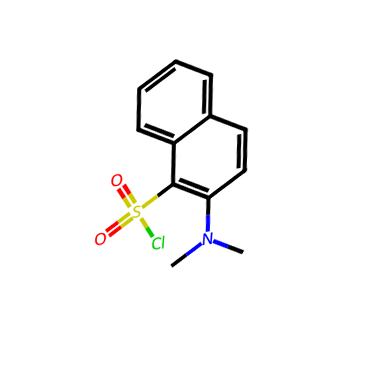 CN(C)c1ccc2ccccc2c1S(=O)(=O)Cl